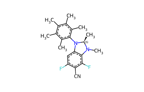 Cc1c(C)c(C)c(N2c3cc(F)c(C#N)c(F)c3N(C)[C@@H]2C)c(C)c1C